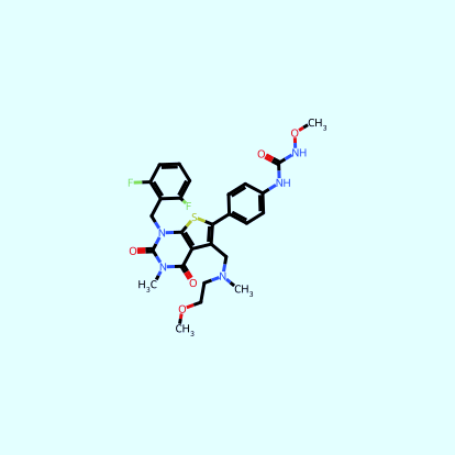 COCCN(C)Cc1c(-c2ccc(NC(=O)NOC)cc2)sc2c1c(=O)n(C)c(=O)n2Cc1c(F)cccc1F